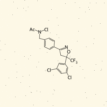 CC(=O)N(Cl)Cc1ccc(C2=NOC(c3cc(Cl)cc(Cl)c3)(C(F)(F)F)C2)cc1